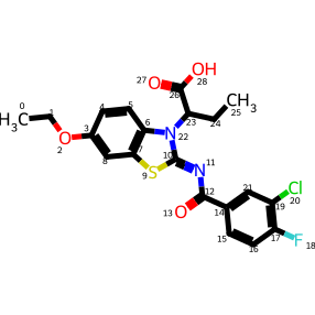 CCOc1ccc2c(c1)s/c(=N\C(=O)c1ccc(F)c(Cl)c1)n2C(CC)C(=O)O